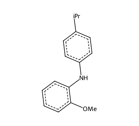 COc1ccccc1Nc1ccc(C(C)C)cc1